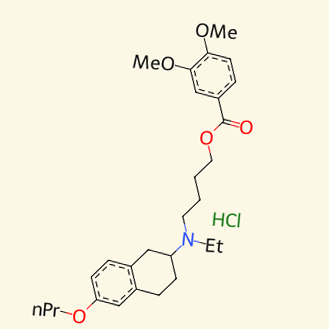 CCCOc1ccc2c(c1)CCC(N(CC)CCCCOC(=O)c1ccc(OC)c(OC)c1)C2.Cl